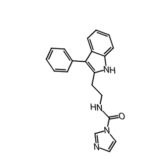 O=C(NCCc1[nH]c2ccccc2c1-c1ccccc1)n1ccnc1